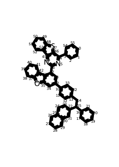 c1ccc(-c2nc(-c3cc(-c4ccc(CC(c5ccccc5)c5ccc6ccccc6c5)cc4)cc4oc5ccccc5c34)nc3c2sc2ccccc23)cc1